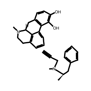 C#CCN(C)[C@H](C)Cc1ccccc1.CN1CCc2cccc3c2[C@H]1Cc1ccc(O)c(O)c1-3